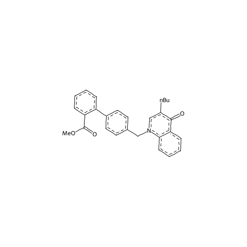 CCCCc1cn(Cc2ccc(-c3ccccc3C(=O)OC)cc2)c2ccccc2c1=O